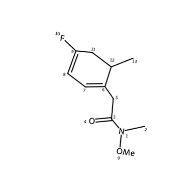 CON(C)C(=O)CC1=CC=C(F)CC1C